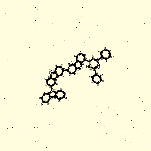 c1ccc(C2=NC(c3cccc4c3oc3ccc(-c5ccc6oc7ccc(-n8c9ccccc9c9ccccc98)cc7c6c5)cc34)NC(c3ccccc3)=N2)cc1